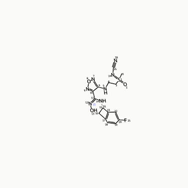 CS(=O)(CCNc1nonc1/C(=N/O)N[C@H]1Cc2ccc(F)cc21)=NC#N